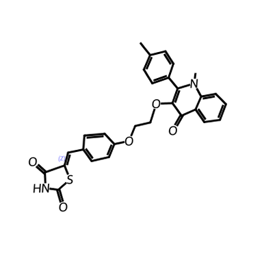 Cc1ccc(-c2c(OCCOc3ccc(/C=C4\SC(=O)NC4=O)cc3)c(=O)c3ccccc3n2C)cc1